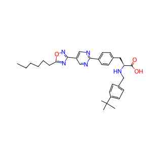 CCCCCCc1nc(-c2cnc(-c3ccc(C[C@H](NCc4ccc(C(C)(C)C)cc4)C(=O)O)cc3)nc2)no1